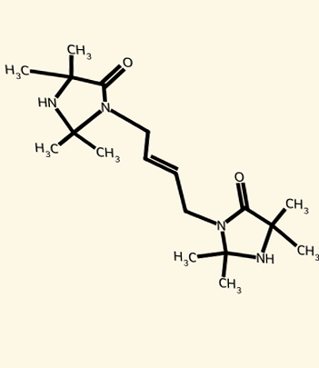 CC1(C)NC(C)(C)N(CC=CCN2C(=O)C(C)(C)NC2(C)C)C1=O